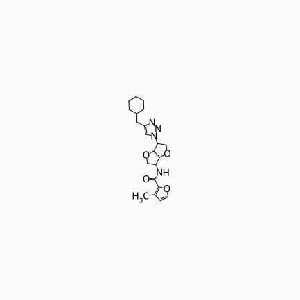 Cc1ccoc1C(=O)NC1COC2C1OCC2n1cc(CC2CCCCC2)nn1